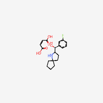 O=C(O)/C=C\C(=O)O.O[C@@H](c1cccc(F)c1)C1CCC2(CCCC2)N1